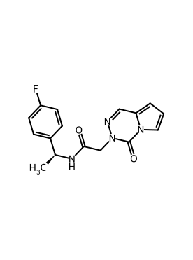 C[C@H](NC(=O)Cn1ncc2cccn2c1=O)c1ccc(F)cc1